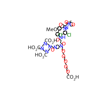 COc1cc2c(cc1-c1cccc(NC(=O)CCC(=O)N(CCOCCOCCOCCOCCOCCC(=O)O)C3CCN(C(=O)CN4CCN(CC(=O)O)CCN(CC(=O)O)CCN(CC(=O)O)CC4)CC3)c1)-c1c(c(C(=O)N3CCOCC3(C)C)nn1-c1cc(Cl)cc(Cl)c1)CO2